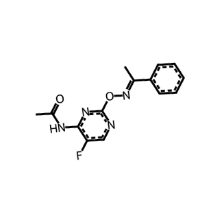 CC(=O)Nc1nc(O/N=C(\C)c2ccccc2)ncc1F